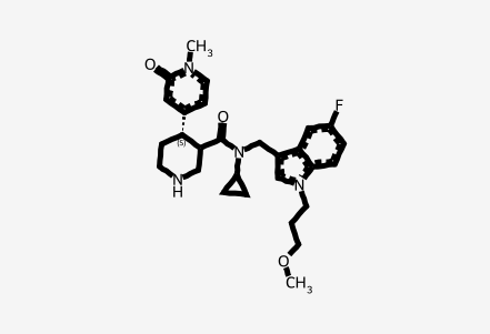 COCCCn1cc(CN(C(=O)C2CNCC[C@@H]2c2ccn(C)c(=O)c2)C2CC2)c2cc(F)ccc21